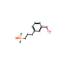 CP(C)(=O)CCCc1cccc(CO)c1